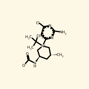 C[C@@H]1C[C@@H](NC(=O)[O-])C[N+](c2cc(Cl)nc(N)n2)(C(C)(C)C)C1